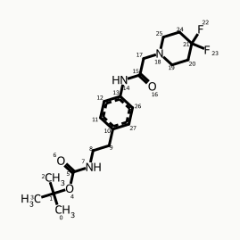 CC(C)(C)OC(=O)NCCc1ccc(NC(=O)CN2CCC(F)(F)CC2)cc1